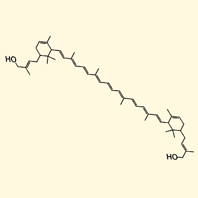 CC1=CCC(C/C=C(\C)CO)C(C)(C)C1/C=C/C(C)=C/C=C/C(C)=C/C=C/C=C(C)/C=C/C=C(C)/C=C/C1C(C)=CCC(C/C=C(\C)CO)C1(C)C